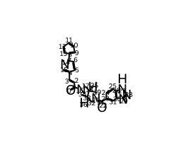 O=C(C=Cc1ccc(-c2ccccc2)nc1)N1C[C@@H]2CN(C(=O)c3ccc4[nH]nnc4c3)C[C@H]2C1